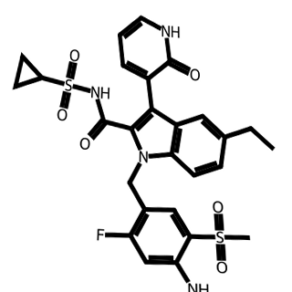 CCc1ccc2c(c1)c(-c1ccc[nH]c1=O)c(C(=O)NS(=O)(=O)C1CC1)n2Cc1cc(S(C)(=O)=O)c(N)cc1F